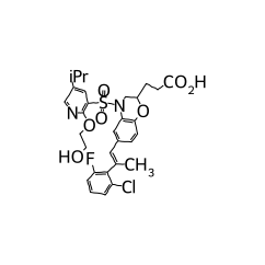 CC(=Cc1ccc2c(c1)N(S(=O)(=O)c1cc(C(C)C)cnc1OCCO)CC(CCC(=O)O)O2)c1c(F)cccc1Cl